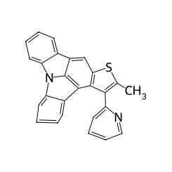 Cc1sc2cc3c4ccccc4n4c5ccccc5c(c2c1-c1ccccn1)c34